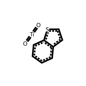 [O]=[Ti]=[O].c1ccc2sccc2c1